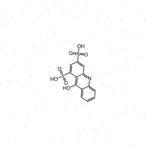 O=S(=O)(O)c1cc(S(=O)(=O)O)c2c(O)c3ccccc3nc2c1